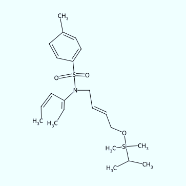 C/C=C\C(=C/C)N(C/C=C/CO[Si](C)(C)C(C)C)S(=O)(=O)c1ccc(C)cc1